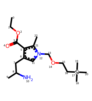 CCOC(=O)c1c(CC(C)N)cn(COCC[Si](C)(C)C)c1C